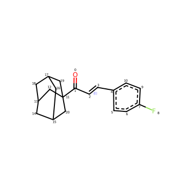 O=C(/C=C/c1ccc(F)cc1)C12CC3CC(CC(C3)C1)C2